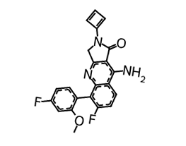 COc1cc(F)ccc1-c1c(F)ccc2c(N)c3c(nc12)CN(C1=CC=C1)C3=O